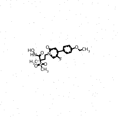 CCOc1ccc(-c2cc(=O)n(CC[C@](C)(C(=O)NO)S(C)(=O)=O)cc2F)cc1